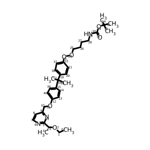 CCO[C@H](C)c1nccc(COc2ccc(C(C)(C)c3ccc(OOCCCCNC(=O)OC(C)(C)C)cc3)cc2)n1